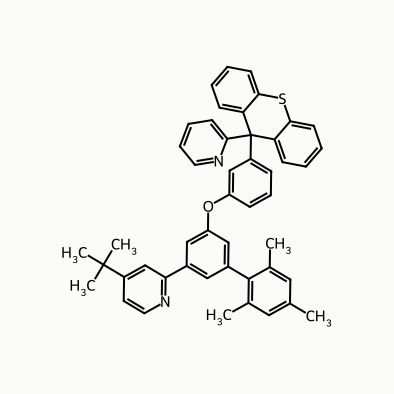 Cc1cc(C)c(-c2cc(Oc3cccc(C4(c5ccccn5)c5ccccc5Sc5ccccc54)c3)cc(-c3cc(C(C)(C)C)ccn3)c2)c(C)c1